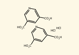 Cl.Cl.O=C(O)c1cncc(C(=O)O)c1.O=C(O)c1cncc(C(=O)O)c1